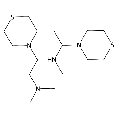 CNC(CC1CSCCN1CCN(C)C)N1CCSCC1